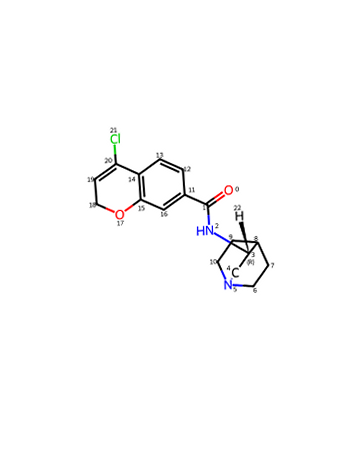 O=C(N[C@H]1CN2CCC1CC2)c1ccc2c(c1)OCC=C2Cl